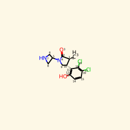 C[C@@H]1C(=O)N(C2CNC2)C[C@H]1c1c(O)ccc(Cl)c1Cl